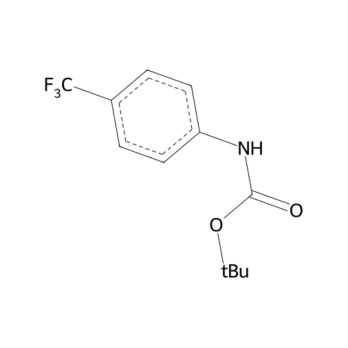 CC(C)(C)OC(=O)Nc1ccc(C(F)(F)F)cc1